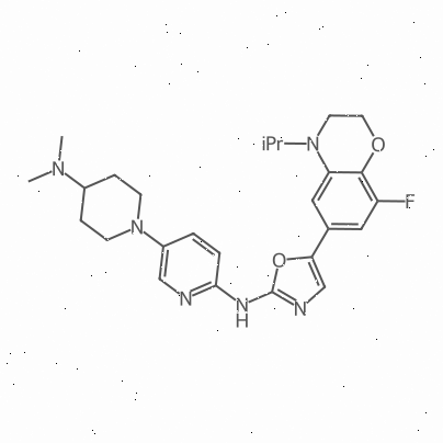 CC(C)N1CCOc2c(F)cc(-c3cnc(Nc4ccc(N5CCC(N(C)C)CC5)cn4)o3)cc21